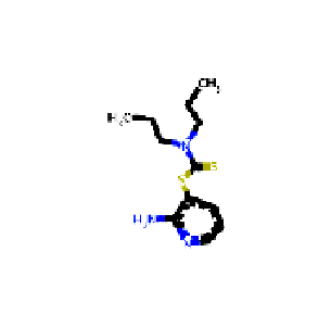 CCCN(CCC)C(=S)Sc1cccnc1N